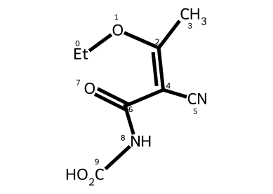 CCOC(C)=C(C#N)C(=O)NC(=O)O